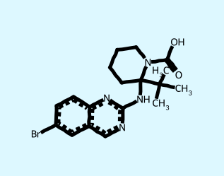 CC(C)(C)C1(Nc2ncc3cc(Br)ccc3n2)CCCCN1C(=O)O